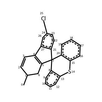 CC1C=CC2=C(C1)C1(c3ccccc3Sc3ccccc31)c1ccc(Cl)cc12